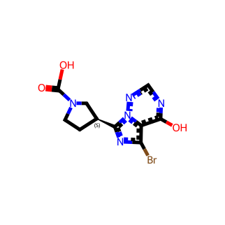 O=C(O)N1CC[C@H](c2nc(Br)c3c(O)ncnn23)C1